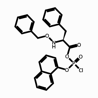 O=C(OP(=O)(Cl)Oc1cccc2ccccc12)[C@H](Cc1ccccc1)NOCc1ccccc1